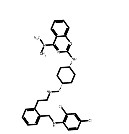 CN(C)c1nc(N[C@H]2CC[C@@H](CNCCc3ccccc3CNc3ccc(Cl)cc3Cl)CC2)nc2ccccc12